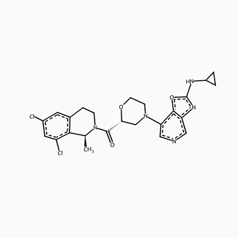 C[C@H]1c2c(Cl)cc(Cl)cc2CCN1C(=O)[C@H]1CN(c2cncc3nc(NC4CC4)oc23)CCO1